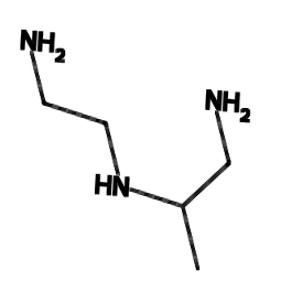 CC(CN)NCCN